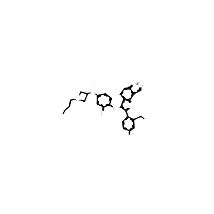 FCCCN1CC(Nc2ccc(Oc3c(-c4ccc(F)cc4CC(F)(F)F)sc4c3ccc3[nH]ncc34)c(F)c2)C1